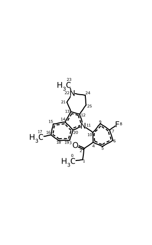 CCC(=O)c1ccc(F)cc1-n1c2c(c3cc(C)ccc31)CN(C)CC2